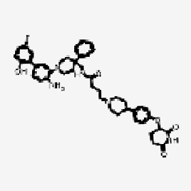 Nc1ccc(-c2cc(F)ccc2O)cc1N1CCC(CNC(=O)CCCN2CCC(c3ccc(OC4CCC(=O)NC4=O)cc3)CC2)(c2ccccc2)CC1